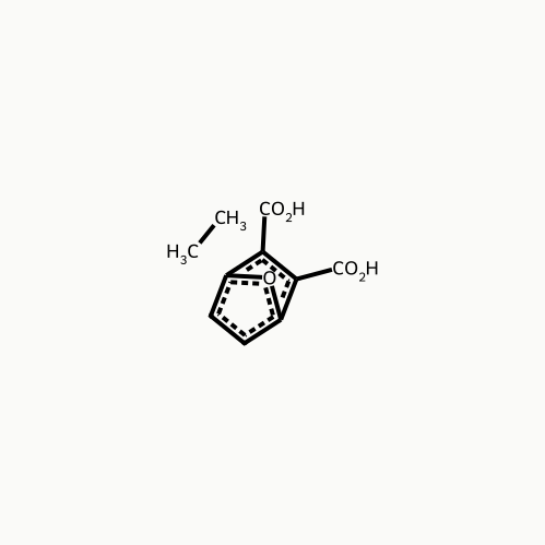 CC.O=C(O)c1c(C(=O)O)c2ccc1o2